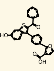 O=C(O)c1ccoc1-c1ccc(-c2c(C(=O)c3ccccc3)sc3cc(O)ccc23)cc1